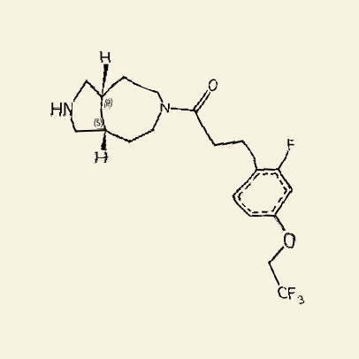 O=C(CCc1ccc(OCC(F)(F)F)cc1F)N1CC[C@@H]2CNC[C@@H]2CC1